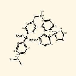 COC(OC)(c1ccc(CN(C)c2ccc(C3(c4ccccc4)OCCO3)cc2)cc1)c1ccc(N(C)C)cc1